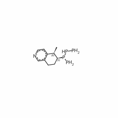 C[C@@H]1c2ccncc2CC[C@@H]1P(P)PP